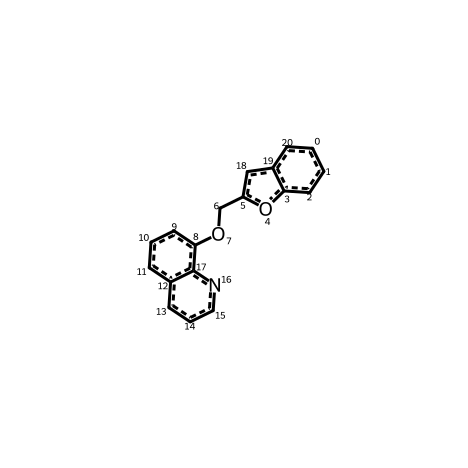 c1ccc2oc(COc3cccc4cccnc34)cc2c1